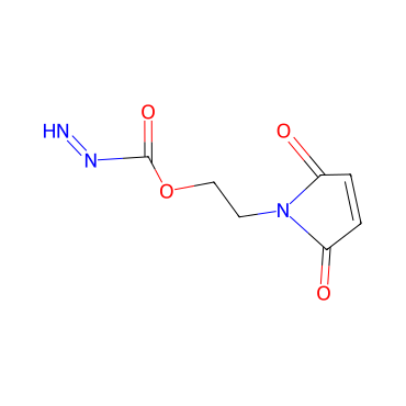 N=NC(=O)OCCN1C(=O)C=CC1=O